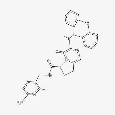 Cc1nc(N)ccc1CNC(=O)[C@@H]1CCc2cnc(N(C)C3c4ccccc4Oc4ccccc43)c(=O)n21